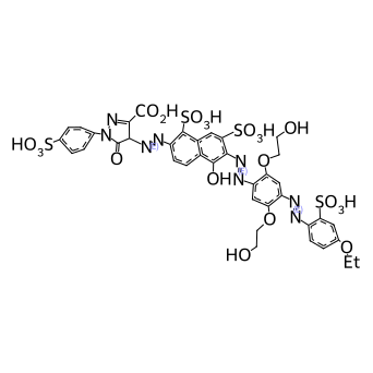 CCOc1ccc(/N=N/c2cc(OCCO)c(/N=N/c3c(S(=O)(=O)O)cc4c(S(=O)(=O)O)c(/N=N/C5C(=O)N(c6ccc(S(=O)(=O)O)cc6)N=C5C(=O)O)ccc4c3O)cc2OCCO)c(S(=O)(=O)O)c1